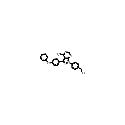 Nc1ncnc2c1c(-c1ccc(Oc3ccccc3)cc1)nn2-c1ccc(CO)cc1